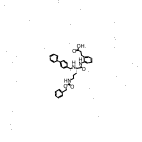 O=C(O)CCc1ccccc1NC(=O)[C@H](CCCNC(=O)OCc1ccccc1)NCc1ccc(-c2ccccc2)cc1